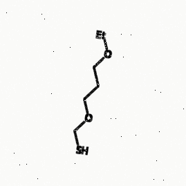 CCOCCCOCS